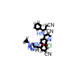 [2H]C(Nc1cc(Cl)c2ncc(C#N)c(NC(CCC#N)c3ccccc3)c2c1)(c1cccc(C#N)c1)c1cn(C2CC2)nn1